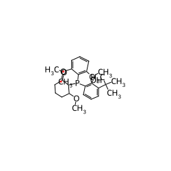 COc1cccc(OC)c1P(c1cccc(C(C)(C)C)c1O)C1C(OC)CCCC1OC